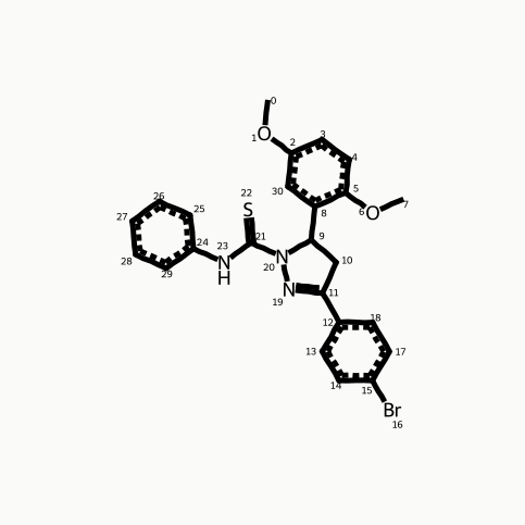 COc1ccc(OC)c(C2CC(c3ccc(Br)cc3)=NN2C(=S)Nc2ccccc2)c1